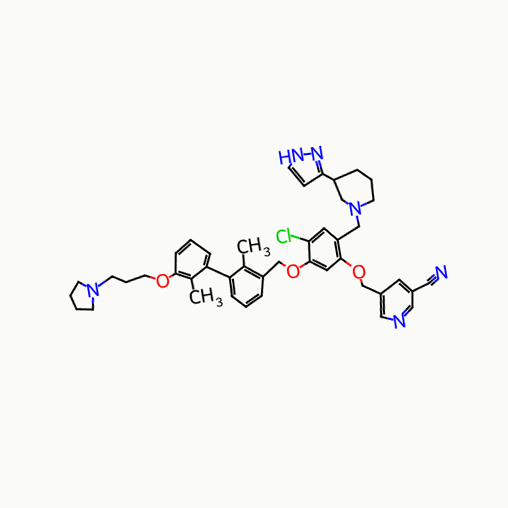 Cc1c(COc2cc(OCc3cncc(C#N)c3)c(CN3CCCC(c4cc[nH]n4)C3)cc2Cl)cccc1-c1cccc(OCCCN2CCCC2)c1C